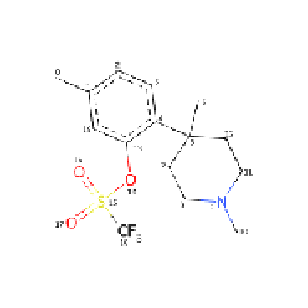 Cc1ccc(C2(C)CCN(C)CC2)c(OS(=O)(=O)C(F)(F)F)c1